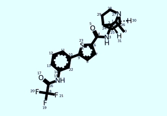 C[C@H]1[C@H](NC(=O)c2ccc(-c3cccc(NC(=O)C(F)(F)F)c3)s2)C2CCN1CC2